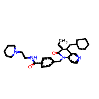 C/C=C1/C(=O)N(Cc2ccc(C(=O)NCCN3CCCCC3)cc2)c2ccncc2C1CC1CCCCC1